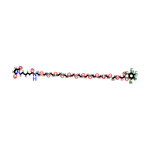 O=C(CCCCCN1C(=O)C=CC1=O)NCCOCCOCCOCCOCCOCCOCCOCCOCCOCCOCCOCCOCCC(=O)Oc1c(F)c(F)c(F)c(F)c1F